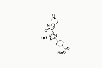 COC(=O)C1CCC(c2nnn(C(CC3CCNCC3)C(N)=O)n2)CC1.Cl